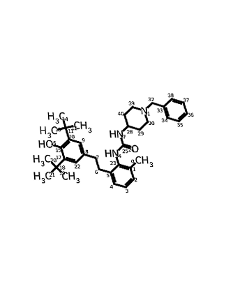 Cc1cccc(CCc2cc(C(C)(C)C)c(O)c(C(C)(C)C)c2)c1NC(=O)NC1CCN(Cc2ccccc2)CC1